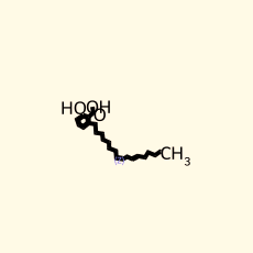 CCCCCC=CC/C=C\CCCCCCCc1cccc(O)c1C(=O)O